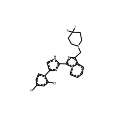 FC1(F)CCN(Cc2nc(-c3nc(-c4ccc(Cl)cc4Cl)c[nH]3)n3ccccc23)CC1